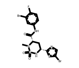 CN1[C@H](C(=O)Nc2ccc(F)c(Br)c2)C[C@H](c2ncc(Br)s2)NS1(=O)=O